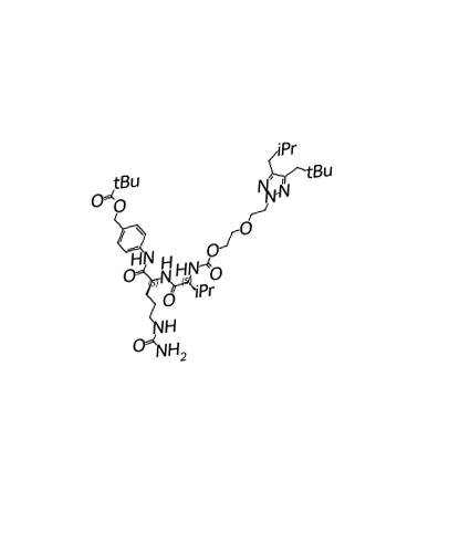 CC(C)Cc1nn(CCOCCOC(=O)N[C@H](C(=O)N[C@@H](CCCNC(N)=O)C(=O)Nc2ccc(COC(=O)C(C)(C)C)cc2)C(C)C)nc1CC(C)(C)C